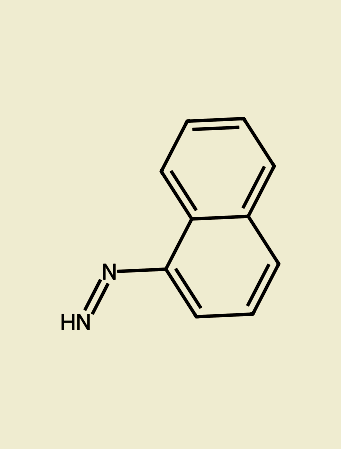 N=Nc1cccc2ccccc12